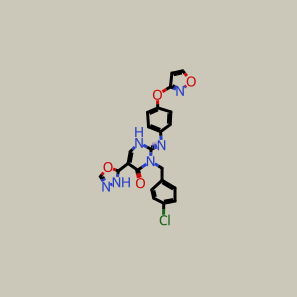 O=c1c(C2NN=CO2)c[nH]/c(=N\c2ccc(Oc3ccon3)cc2)n1Cc1ccc(Cl)cc1